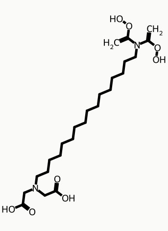 C=C(OO)N(CCCCCCCCCCCCCCCCN(CC(=O)O)CC(=O)O)C(=C)OO